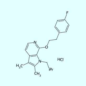 Cc1c(C)n(CC(C)C)c2c(OCCc3ccc(F)cc3)nccc12.Cl